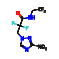 O=C(NCC(F)(F)F)C(F)(F)Cn1cnc([N+](=O)[O-])n1